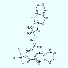 CC(O)(CNc1nn(C2CCCCO2)c2c(O)nc(C(F)(F)F)nc12)CN1CCc2ccccc2CC1